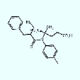 Cc1ccc(N(C(=O)C(CS)Cc2ccccc2)[C@](N)(CCC(=O)O)C(=O)O)cc1